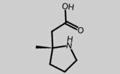 C[C@]1(CC(=O)O)CCCN1